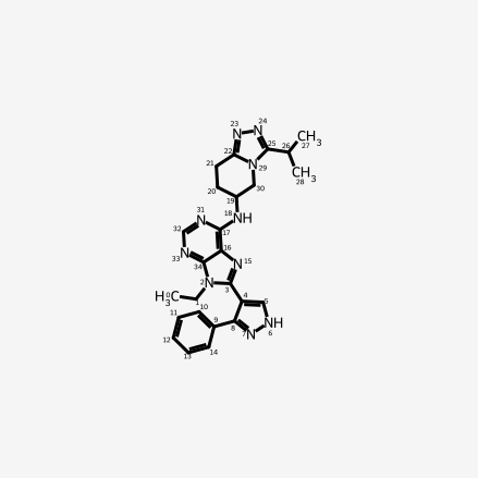 CCn1c(-c2c[nH]nc2-c2ccccc2)nc2c(NC3CCc4nnc(C(C)C)n4C3)ncnc21